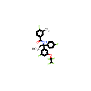 O=C(O)C[C@@](NC(=O)c1ccc(F)c(C(F)(F)F)c1)(c1ccc(F)cc1)c1cc(F)cc(OC(F)(F)C(F)F)c1